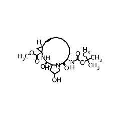 COC(=O)[C@@]12C[C@H]1/C=C\CCCCC[C@H](NC(=O)OC(C)(C)C)C(=O)N1C[C@@H](O)C[C@H]1C(=O)N2